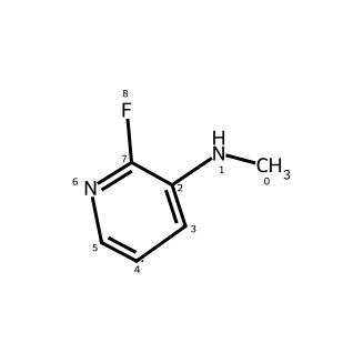 CNc1c[c]cnc1F